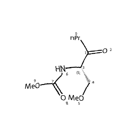 CCCC(=O)[C@H](COC)NC(=O)OC